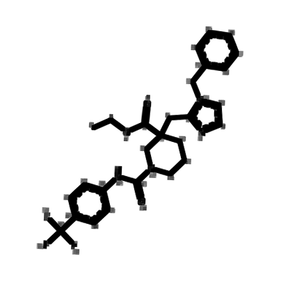 CCOC(=O)C1(Cc2nccn2Cc2ccccc2)CCCN(C(=O)Nc2ccc(C(F)(F)F)cc2)C1